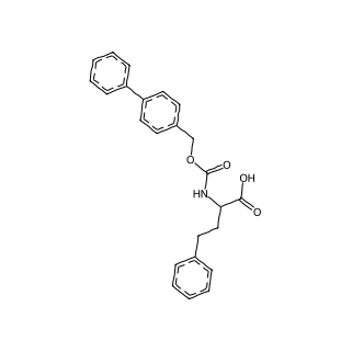 O=C(NC(CCc1ccccc1)C(=O)O)OCc1ccc(-c2ccccc2)cc1